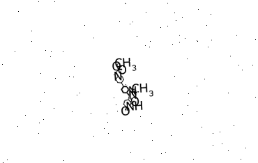 COC(=O)CN1CCC(c2ccc3c(C4CCC(=O)NC4=O)nn(C)c3c2)CC1